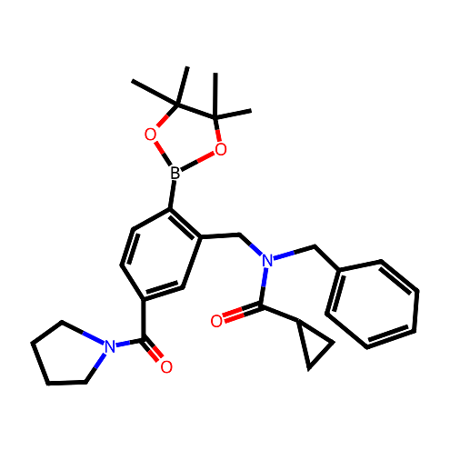 CC1(C)OB(c2ccc(C(=O)N3CCCC3)cc2CN(Cc2ccccc2)C(=O)C2CC2)OC1(C)C